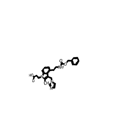 Cc1c(Cn2ccnc2)c2c(CCNC(=O)OCc3ccccc3)cccc2n1CCC(=O)O